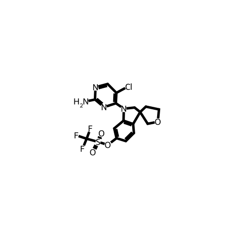 Nc1ncc(Cl)c(N2CC3(CCOC3)c3ccc(OS(=O)(=O)C(F)(F)F)cc32)n1